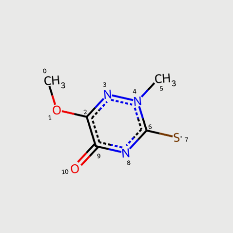 COc1nn(C)c([S])nc1=O